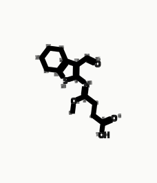 COC(CCC(=O)O)=Nc1sc2c(c1C=O)CCCC2